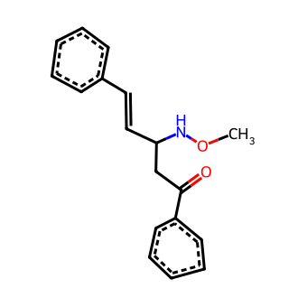 CONC(C=Cc1ccccc1)CC(=O)c1ccccc1